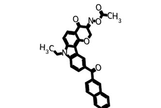 CCn1c2ccc(C(=O)c3ccc4ccccc4c3)cc2c2c3c(ccc21)C(=O)/C(=N/OC(C)=O)CO3